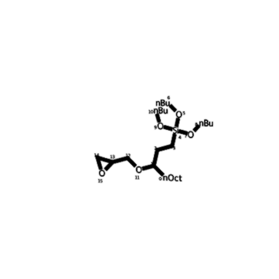 CCCCCCCCC(CC[Si](OCCCC)(OCCCC)OCCCC)OCC1CO1